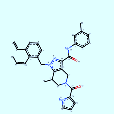 C=Cc1cccc(Cn2nc(C(=O)Nc3cccc(C)c3)c3c2C(C)CN(C(=O)c2ccc[nH]2)C3)c1/C=C\C